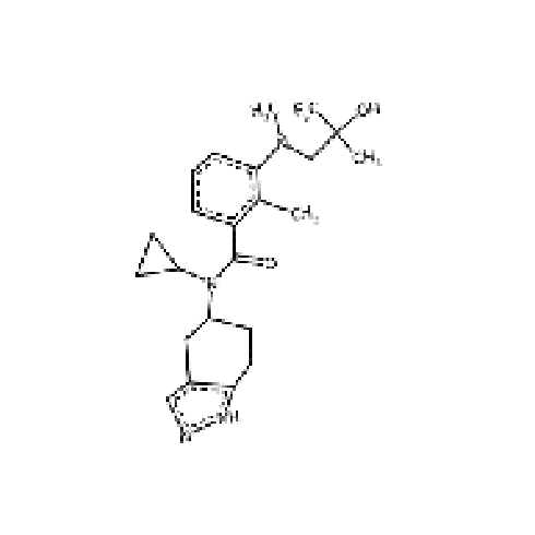 Cc1c(C(=O)N(C2CC2)C2CCc3[nH]ncc3C2)cccc1N(C)CC(C)(O)C(F)(F)F